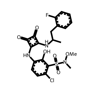 CON(C)S(=O)(=O)c1c(Cl)ccc(Nc2c(NC(C)Cc3ccccc3F)c(=O)c2=O)c1O